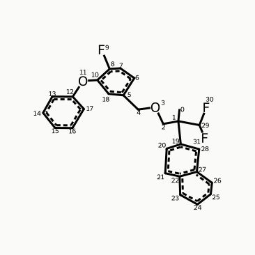 CC(COCc1ccc(F)c(Oc2ccccc2)c1)(c1ccc2ccccc2c1)C(F)F